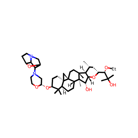 CCO[C@@H]([C@H]1C[C@@H](C)[C@H]2[C@H](O1)[C@H](O)[C@@]1(C)[C@@H]3CC[C@H]4C(C)(C)[C@@H](O[C@H]5CN(C6C7CN8CCC(O7)C68)CCO5)CC[C@@]45C[C@@]35CC[C@]21C)C(C)(C)O